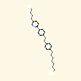 CCCCCCCCc1ccc(CCc2ccc(-c3ccc(CCCCC)cn3)cc2)cc1